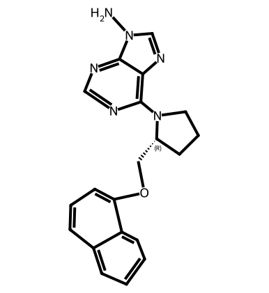 Nn1cnc2c(N3CCC[C@@H]3COc3cccc4ccccc34)ncnc21